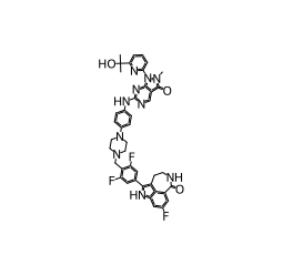 Cn1c(=O)c2cnc(Nc3ccc(N4CCN(Cc5c(F)cc(-c6[nH]c7cc(F)cc8c7c6CCNC8=O)cc5F)CC4)cc3)nc2n1-c1cccc(C(C)(C)O)n1